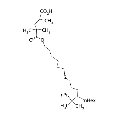 CCCCCCC(CCCSCCCCCCOC(=O)C(C)(C)CC(C)C(=O)O)C(C)(C)CCC